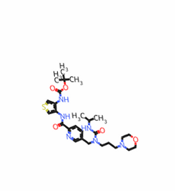 CC(C)NC(=O)N(CCCN1CCOCC1)Cc1ccc(C(=O)Nc2cscc2NC(=O)OC(C)(C)C)nc1